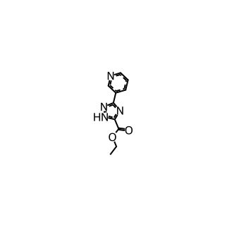 CCOC(=O)c1nc(-c2cccnc2)n[nH]1